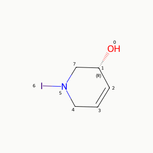 O[C@@H]1C=CCN(I)C1